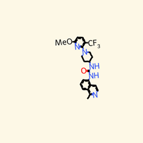 COc1ccc(C(F)(F)F)c(N2CCC(NC(=O)Nc3cccc4c(C)nccc34)CC2)n1